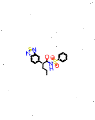 CCCC(C(=O)NS(=O)(=O)c1ccccc1)c1ccc2nsnc2c1